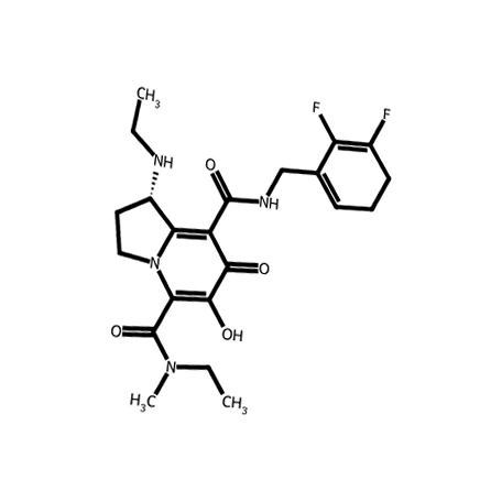 CCN[C@H]1CCn2c(C(=O)N(C)CC)c(O)c(=O)c(C(=O)NCC3=CCCC(F)=C3F)c21